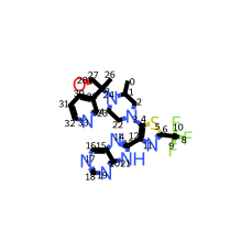 CC1CN(c2sc(C(F)(F)F)nc2-c2nc3cncnc3[nH]2)CCN1C(C)(C=O)c1cccnc1